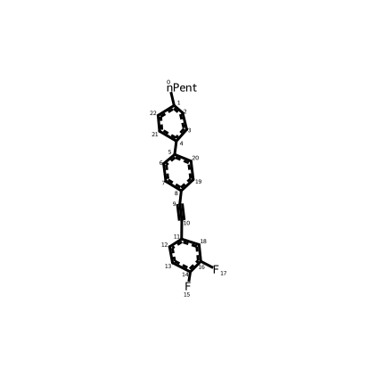 CCCCCc1ccc(-c2ccc(C#Cc3ccc(F)c(F)c3)cc2)cc1